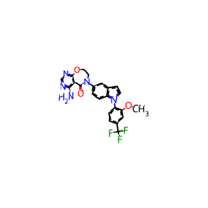 COc1cc(C(F)(F)F)ccc1-n1ccc2cc(N3CCOc4ncnc(N)c4C3=O)ccc21